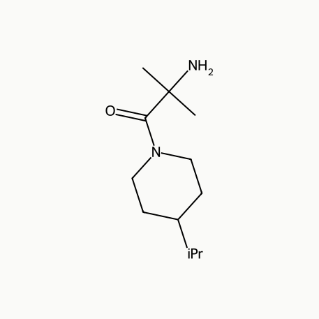 CC(C)C1CCN(C(=O)C(C)(C)N)CC1